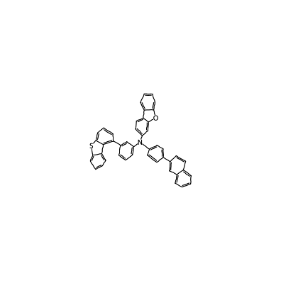 c1cc(-c2cccc3sc4ccccc4c23)cc(N(c2ccc(-c3ccc4ccccc4c3)cc2)c2ccc3c(c2)oc2ccccc23)c1